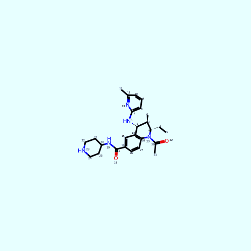 CC[C@H]1[C@H](C)[C@@H](Nc2cccc(C)n2)c2cc(C(=O)NC3CCNCC3)ccc2N1C(C)=O